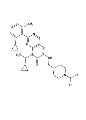 CC[S+]([O-])N1CCC(CNc2nc3cnc(-c4c(C)ncnc4C4CC4)nc3n(C(C)C3CC3)c2=O)CC1